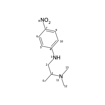 CC(CNc1ccc([N+](=O)[O-])cc1)N(C)C